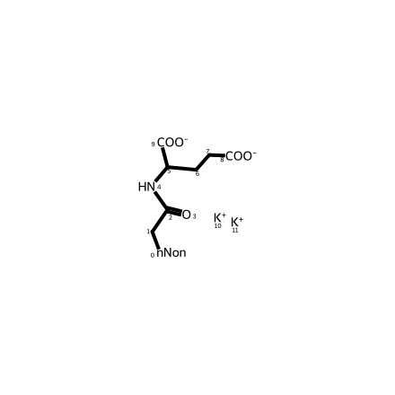 CCCCCCCCCCC(=O)NC(CCC(=O)[O-])C(=O)[O-].[K+].[K+]